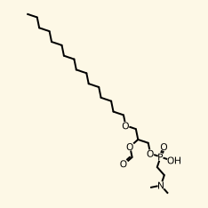 CCCCCCCCCCCCCCCCOCC(COP(=O)(O)CCN(C)C)OC=O